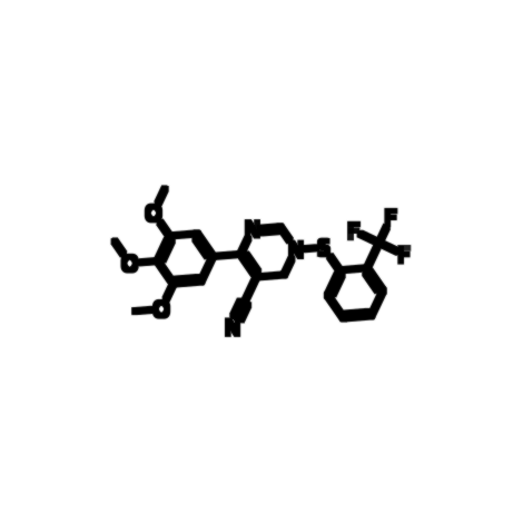 COc1cc(C2=C(C#N)CN(Sc3ccccc3C(F)(F)F)C=N2)cc(OC)c1OC